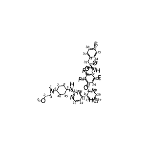 COCCN(C)C1CCC(Nc2nccc(-c3cccnc3Oc3cc(F)c(NS(=O)(=O)Cc4ccc(F)cc4)c(F)c3F)n2)CC1.Cl